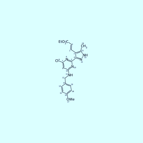 CCOC(=O)C=Cc1c(-c2nc(Cl)cc(NCc3ccc(OC)cc3)n2)n[nH]c1C